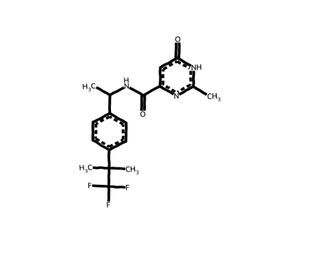 Cc1nc(C(=O)NC(C)c2ccc(C(C)(C)C(F)(F)F)cc2)cc(=O)[nH]1